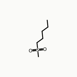 CCCCCS(C)(=O)=O